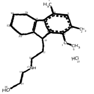 COc1c(C)cc(C)c2c1C(CCNCCO)C1=C2CCCC1.Cl